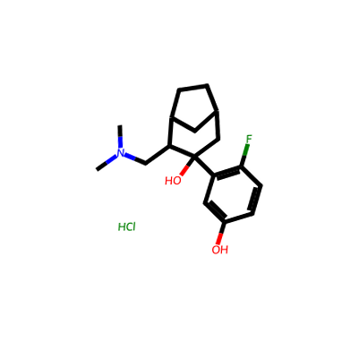 CN(C)CC1C2CCC(C2)CC1(O)c1cc(O)ccc1F.Cl